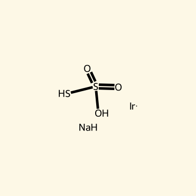 O=S(=O)(O)S.[Ir].[NaH]